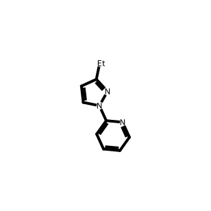 CCc1ccn(-c2ccccn2)n1